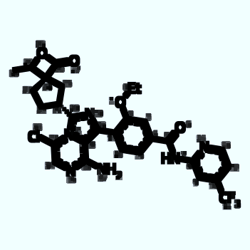 CCOc1cc(C(=O)Nc2cc(C(F)(F)F)ccn2)ccc1-c1nc([C@@H]2CC[C@]3(C2)C(=O)OC3C)n2c(Cl)cnc(N)c12